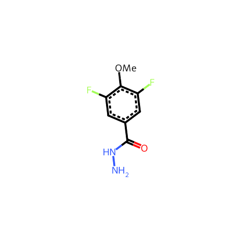 COc1c(F)cc(C(=O)NN)cc1F